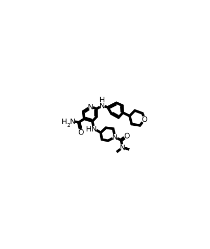 CN(C)C(=O)N1CCC(Nc2cc(Nc3ccc(C4CCOCC4)cc3)ncc2C(N)=O)CC1